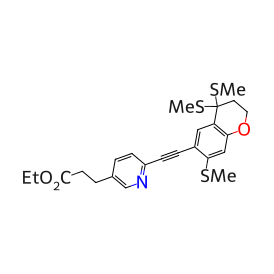 CCOC(=O)CCc1ccc(C#Cc2cc3c(cc2SC)OCCC3(SC)SC)nc1